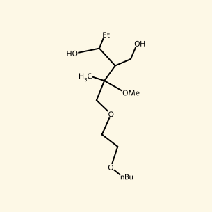 CCCCOCCOCC(C)(OC)C(CO)C(O)CC